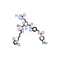 CC(C)[C@H](NC(=O)CCCCCN1C(=O)C=CC1=O)C(=O)N[C@@H](CCCNC(N)=O)C(=O)Nc1ccc(COC(=O)N2CCC(C(C)(C)C)CC2)cc1